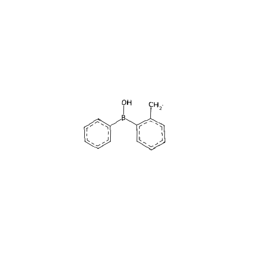 [CH2]c1ccccc1B(O)c1ccccc1